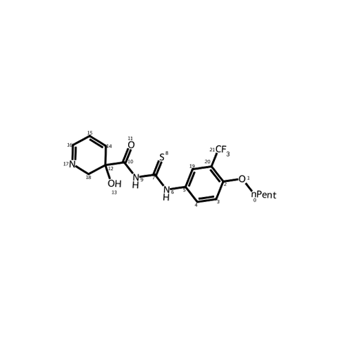 CCCCCOc1ccc(NC(=S)NC(=O)C2(O)C=CC=NC2)cc1C(F)(F)F